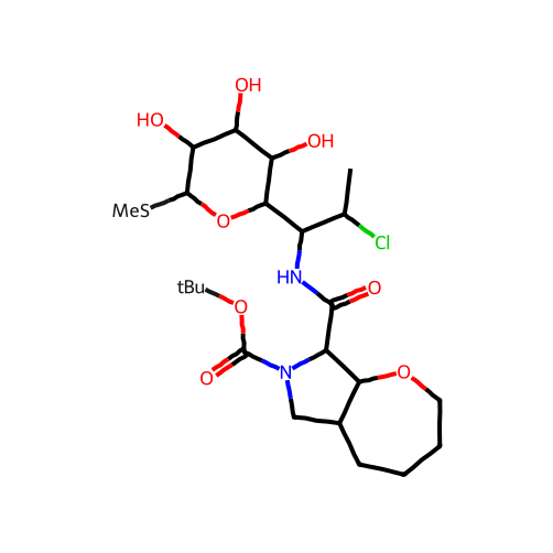 CSC1OC(C(NC(=O)C2C3OCCCCC3CN2C(=O)OC(C)(C)C)C(C)Cl)C(O)C(O)C1O